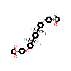 CC(C)(c1ccc(Oc2ccc(N3C(=O)C=CC3=O)cc2)cc1)c1ccc(C(C)(C)c2ccc(Oc3ccc(N4C(=O)C=CC4=O)cc3)cc2)cc1